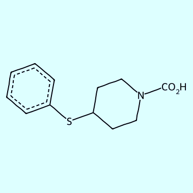 O=C(O)N1CCC(Sc2ccccc2)CC1